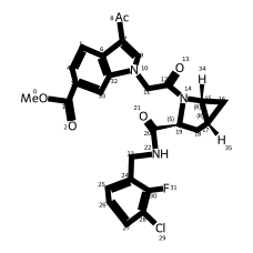 COC(=O)c1ccc2c(C(C)=O)cn(CC(=O)N3[C@@H]4C[C@@H]4C[C@H]3C(=O)NCc3cccc(Cl)c3F)c2c1